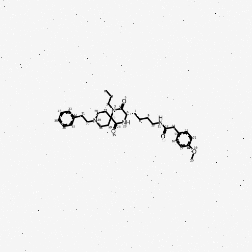 CCCN1C(=O)[C@H](CCCCNC(=O)Cc2ccc(OC)cc2)NC(=O)C12CCN(CCc1ccccc1)CC2